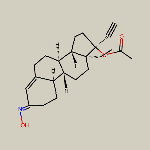 C#C[C@@]1(OC(C)=O)CC[C@H]2[C@@H]3CCC4=C/C(=N/O)CC[C@@H]4[C@H]3CC[C@@]21CC